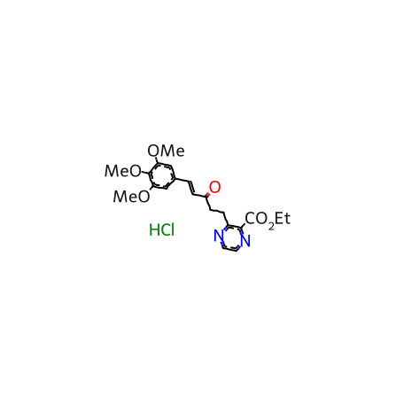 CCOC(=O)c1nccnc1CCC(=O)C=Cc1cc(OC)c(OC)c(OC)c1.Cl